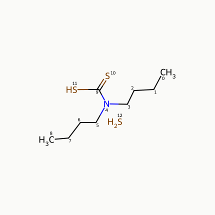 CCCCN(CCCC)C(=S)S.S